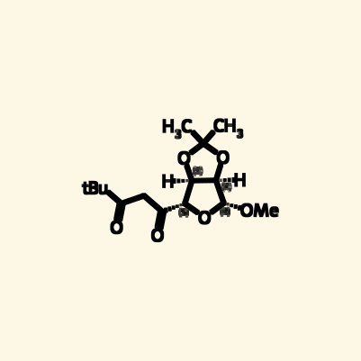 CO[C@@H]1O[C@H](C(=O)CC(=O)C(C)(C)C)[C@H]2OC(C)(C)O[C@@H]12